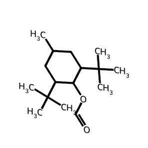 CC1CC(C(C)(C)C)C(OC=O)C(C(C)(C)C)C1